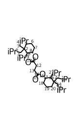 CC(C)CC1(CC(C)C)CCCC(OC(=O)CCC(=O)OC2CCCC(CC(C)C)(CC(C)C)C2C(C)C)C1C(C)C